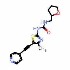 Cc1nc(NC(=O)NCC2CCCO2)sc1C#Cc1ccncc1